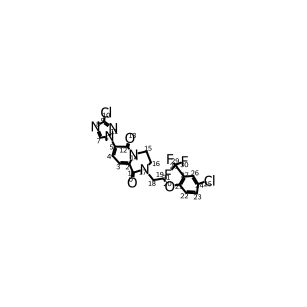 O=C1c2ccc(-n3cnc(Cl)n3)c(=O)n2CCN1CCOc1ccc(Cl)cc1C(F)(F)F